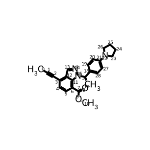 CC#Cc1ccc(C(=O)OC)c2c1cnn2C(C)c1ccc(N2CCCC2)cc1